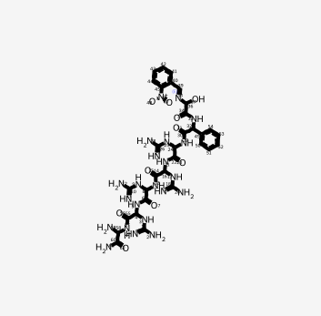 N=C(N)NC(NC(=O)C(NC(=N)N)NC(=O)C(NC(=N)N)NC(=O)C(NC(=N)N)NC(=O)C(NC(=O)C(O)/N=C/c1ccccc1[N+](=O)[O-])c1ccccc1)C(=O)NC(N)C(N)=O